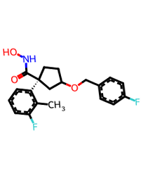 Cc1c(F)cccc1[C@]1(C(=O)NO)CCC(OCc2ccc(F)cc2)C1